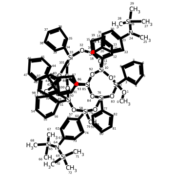 CO[Si]1(c2ccccc2)O[Si]2(c3ccccc3)O[Si](C)(c3ccc(N(C)[Si](C)(C)C)cc3)O[Si]3(c4ccccc4)O[Si](C)(c4ccccc4)O[Si]4(c5ccccc5)O[Si](C)(c5ccc(N([Si](C)(C)C)[Si](C)(C)C)cc5)O[Si](c5ccccc5)(O1)O[Si](c1ccccc1)(O2)O[Si](c1ccccc1)(O3)O4